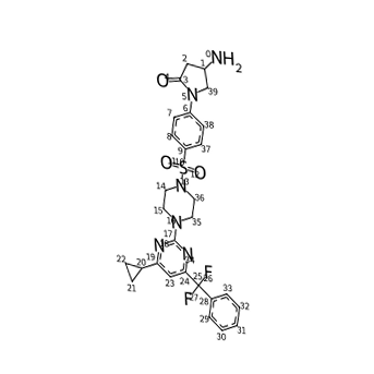 NC1CC(=O)N(c2ccc(S(=O)(=O)N3CCN(c4nc(C5CC5)cc(C(F)(F)c5ccccc5)n4)CC3)cc2)C1